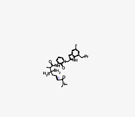 BC(B)(C/C=C/C(=O)N(C)C)C(C)C(=O)Nc1cccn(Cc2cc3cc(F)cc(CC(C)C)c3[nH]2)c1=O